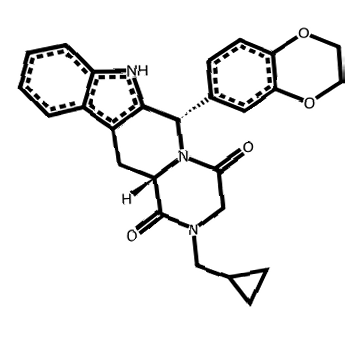 O=C1[C@@H]2Cc3c([nH]c4ccccc34)[C@H](c3ccc4c(c3)OCCO4)N2C(=O)CN1CC1CC1